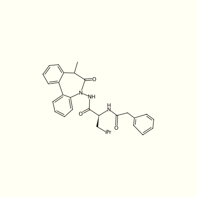 CC(C)C[C@H](NC(=O)Cc1ccccc1)C(=O)NN1C(=O)C(C)c2ccccc2-c2ccccc21